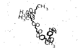 CCCCCSS/C(CCOC(=O)CCCC(=O)O[C@H]1CC[C@H](N(C)C(=O)c2ccc3nonc3c2)CC1)=C(/C)N(C)C=O